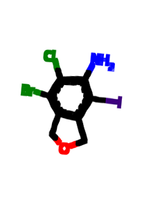 Nc1c(Cl)c(Br)c2c(c1I)COC2